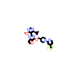 COc1ncnc(C2CC2)c1-c1nc(OCC2CCN(c3cc(C(F)(F)F)ccn3)CC2)c2occc2n1